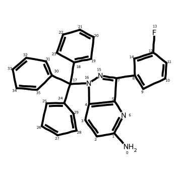 Nc1ccc2c(n1)c(-c1cccc(F)c1)nn2C(c1ccccc1)(c1ccccc1)c1ccccc1